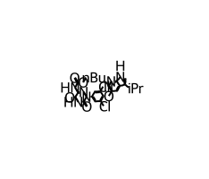 CCCCOC(=O)Nc1nn(-c2cc(Cl)c(Oc3cc4c(C(C)C)c[nH]c4nn3)c(Cl)c2)c(=O)[nH]c1=O